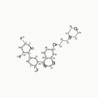 Fc1cnc(-c2ccc(F)c(-c3ncnc4cc(OCCCN5CCOCC5)ccc34)c2)c(F)c1